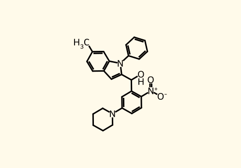 Cc1ccc2cc(C(O)c3cc(N4CCCCC4)ccc3[N+](=O)[O-])n(-c3ccccc3)c2c1